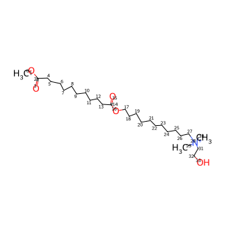 COC(=O)CCCCCCCCCCC(=O)OCCCCCCCCCCC[N+](C)(C)CCO